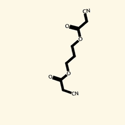 N#CCC(=O)OCCCOC(=O)CC#N